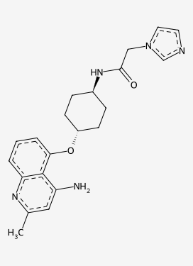 Cc1cc(N)c2c(O[C@H]3CC[C@H](NC(=O)Cn4ccnc4)CC3)cccc2n1